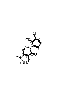 CN(N)c1cnn(-c2cccc(Cl)c2Cl)c(=O)c1Cl